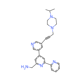 CC(C)N1CCN(CC#Cc2cncc(-c3cc(CN)nc(-c4ccccn4)c3)c2)CC1